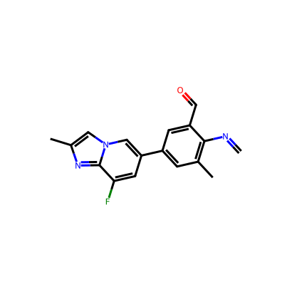 C=Nc1c(C)cc(-c2cc(F)c3nc(C)cn3c2)cc1C=O